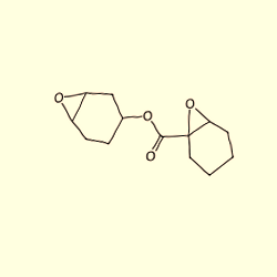 O=C(OC1CCC2OC2C1)C12CCCCC1O2